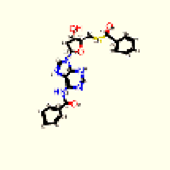 O=C(Nc1ncnc2c1ncn2[C@H]1C[C@H](O)[C@@H](CSC(=O)c2ccccc2)O1)c1ccccc1